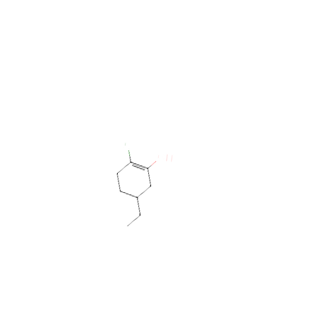 CCC1CCC(Cl)=C(O)C1